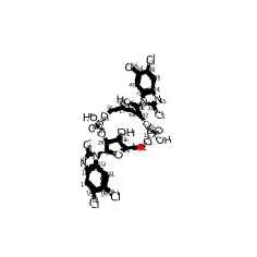 O=P1(O)OC[C@H]2O[C@@H](n3c(Cl)nc4cc(Cl)c(Cl)cc43)C(OP(=O)(O)OC[C@H]3O[C@@H](n4c(Cl)nc5cc(Cl)c(Cl)cc54)C(O1)C3O)C2O